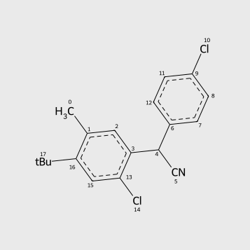 Cc1cc(C(C#N)c2ccc(Cl)cc2)c(Cl)cc1C(C)(C)C